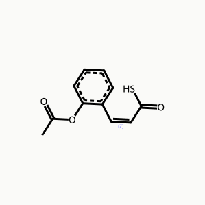 CC(=O)Oc1ccccc1/C=C\C(=O)S